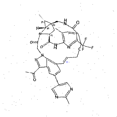 CC(=O)c1nn2c3c(cc(-c4cnc(C)nc4)cc13)/C=C/CCCCC(=O)NC[C@@]13C[C@@H](C(=O)Nc4nc(C(F)(F)F)ccc4C)N(C(=O)C2)[C@@H]1[C@@H]3C